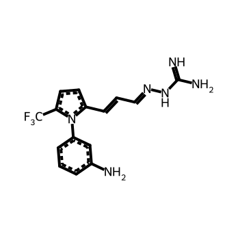 N=C(N)N/N=C/C=C/c1ccc(C(F)(F)F)n1-c1cccc(N)c1